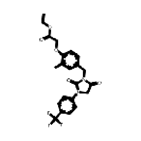 CCOC(=O)COc1ccc(CN2C(=O)CN(c3ccc(C(F)(F)F)cc3)C2=O)cc1C